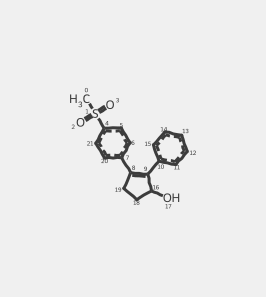 CS(=O)(=O)c1ccc(C2=C(c3ccccc3)C(O)CC2)cc1